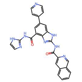 O=C(Nc1nc2c(C(=O)Nc3ncc[nH]3)cc(-c3ccncc3)cc2[nH]1)c1cc2ccccc2cn1